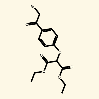 CCOC(=O)C(Oc1ccc(C(=O)CBr)cc1)C(=O)OCC